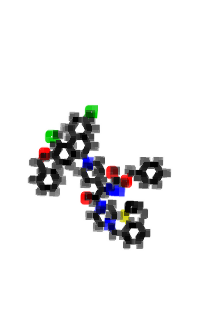 CSc1ccccc1CN1CCN(C(=O)[C@H](NC(=O)OCc2ccccc2)C2CCN(CCc3cc(Cl)ccc3-c3cccc(OCc4ccccc4)c3Cl)CC2)CC1